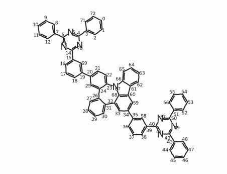 c1ccc(-c2nc(-c3ccccc3)nc(-c3cccc(-c4ccc5c(c4)-c4ccccc4-c4cc(-c6cccc(-c7nc(-c8ccccc8)nc(-c8ccccc8)n7)c6)cc6c7ccccc7n-5c46)c3)n2)cc1